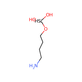 NCCCCO[SiH](O)O